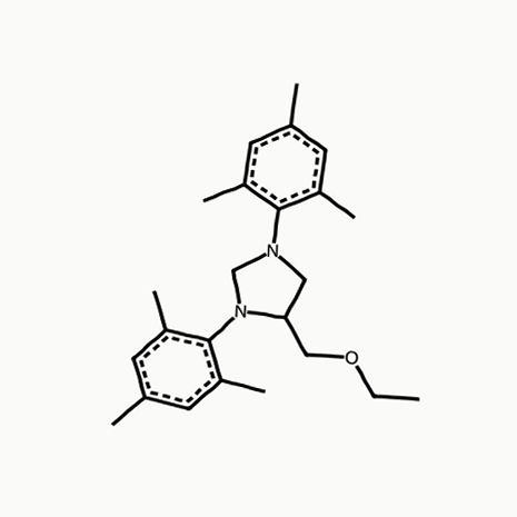 CCOCC1CN(c2c(C)cc(C)cc2C)CN1c1c(C)cc(C)cc1C